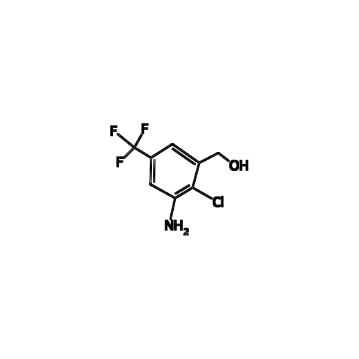 Nc1cc(C(F)(F)F)cc(CO)c1Cl